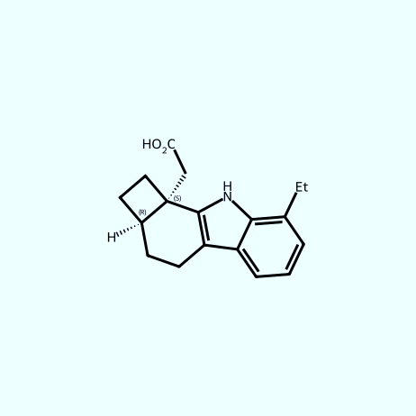 CCc1cccc2c3c([nH]c12)[C@]1(CC(=O)O)CC[C@@H]1CC3